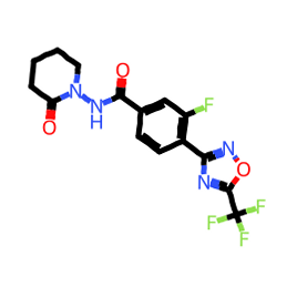 O=C(NN1CCCCC1=O)c1ccc(-c2noc(C(F)(F)F)n2)c(F)c1